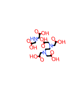 O=C(O)CN(CCN(CC(=O)O)CC(=O)O)CC(=O)O.O=C(O)CNCC(=O)O